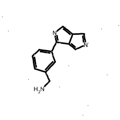 NCc1cccc(C2=NC=C3C=NC=C32)c1